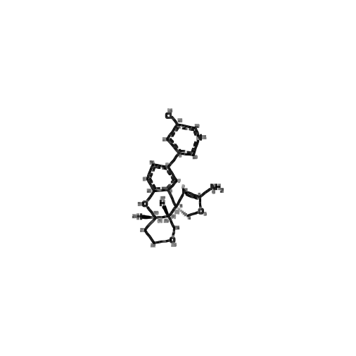 NC1=N[C@]2(CO1)c1cc(-c3cncc(Cl)c3)ccc1O[C@H]1CCOC[C@H]12